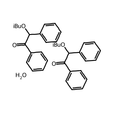 CC(C)COC(C(=O)c1ccccc1)c1ccccc1.CC(C)COC(C(=O)c1ccccc1)c1ccccc1.O